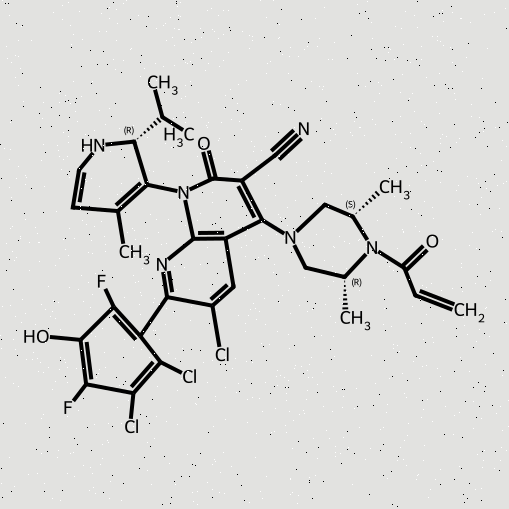 C=CC(=O)N1[C@H](C)CN(c2c(C#N)c(=O)n(C3=C(C)C=CN[C@@H]3C(C)C)c3nc(-c4c(F)c(O)c(F)c(Cl)c4Cl)c(Cl)cc23)C[C@@H]1C